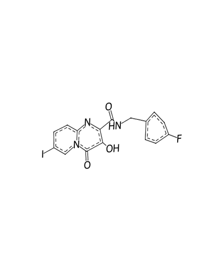 O=C(NCc1ccc(F)cc1)c1nc2ccc(I)cn2c(=O)c1O